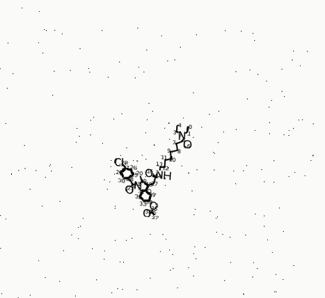 CCN(CC)C(=O)CCCCCCCNC(=O)Cc1c(C)n(C(=O)c2ccc(Cl)cc2)c2ccc(OC(C)=O)cc12